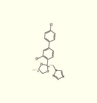 C[C@H]1CO[C@](Cn2cncn2)(c2ccc(-c3ccc(Cl)cc3)cc2Cl)O1